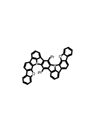 CC(C)c1c2c3cccc4c5ccc6c7ccccc7oc6c5n(c2c(C(C)C)c2c5cccc6c7ccc8c9ccccc9oc8c7n(c12)c65)c43